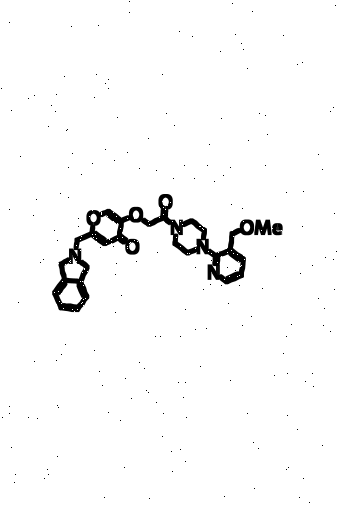 COCc1cccnc1N1CCN(C(=O)COc2coc(CN3Cc4ccccc4C3)cc2=O)CC1